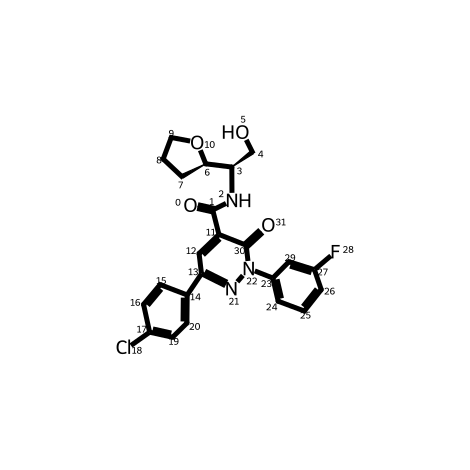 O=C(N[C@H](CO)[C@H]1CCCO1)c1cc(-c2ccc(Cl)cc2)nn(-c2cccc(F)c2)c1=O